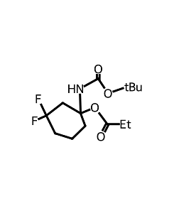 CCC(=O)OC1(NC(=O)OC(C)(C)C)CCCC(F)(F)C1